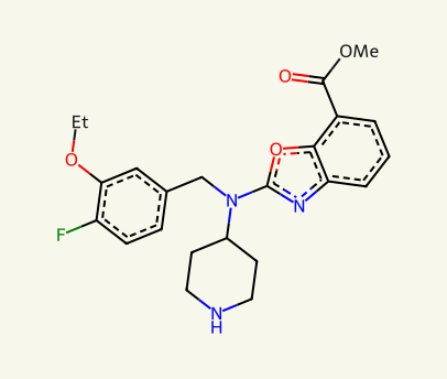 CCOc1cc(CN(c2nc3cccc(C(=O)OC)c3o2)C2CCNCC2)ccc1F